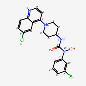 O=C(NC1CCN(c2ccnc3ccc(Cl)cc23)CC1)N(S)c1cccc(Br)c1